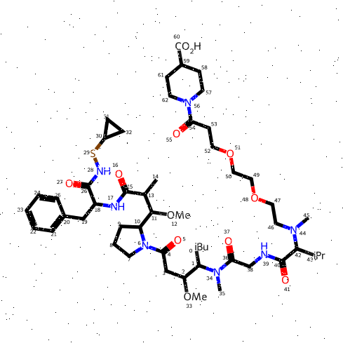 CCC(C)C(C(CC(=O)N1CCCC1C(OC)C(C)C(=O)NC(Cc1ccccc1)C(=O)NSC1CC1)OC)N(C)C(=O)CNC(=O)C(C(C)C)N(C)CCOCCOCCC(=O)N1CCC(C(=O)O)CC1